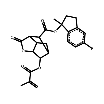 C=C(C)C(=O)OC1C2CC3C1OC(=O)C3C2C(=O)OC1(C)CCc2cc(F)ccc21